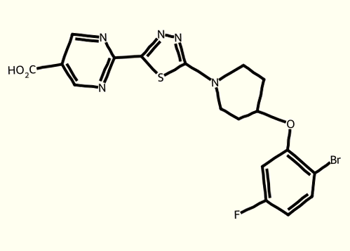 O=C(O)c1cnc(-c2nnc(N3CCC(Oc4cc(F)ccc4Br)CC3)s2)nc1